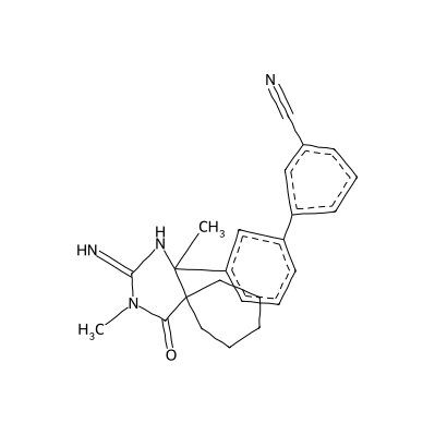 CN1C(=N)NC(C)(c2cccc(-c3cccc(C#N)c3)c2)C2(CCCCC2)C1=O